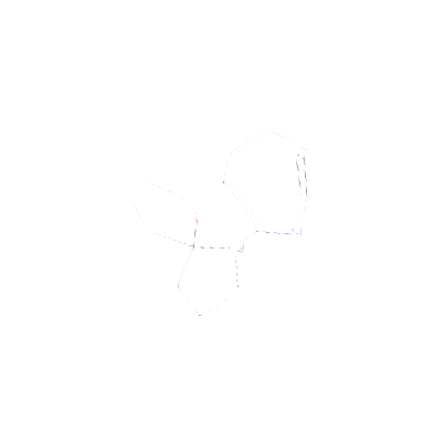 COC1(OC)CCC[SiH]1C1=CC=CC=CN1